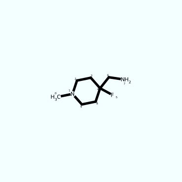 CN1CCC(F)(CN)CC1